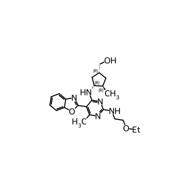 CCOCCNc1nc(C)c(-c2nc3ccccc3o2)c(N[C@@H]2C[C@H](CO)C[C@H]2C)n1